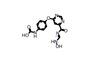 O=C(O)Nc1ccc(Oc2cc(C(=O)/N=C/NO)ncn2)cc1